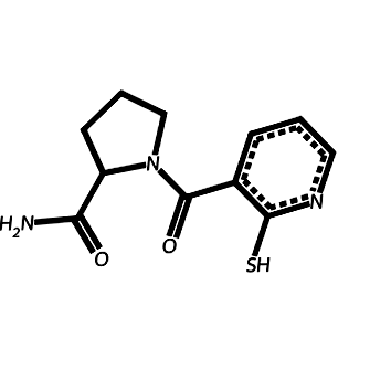 NC(=O)C1CCCN1C(=O)c1cccnc1S